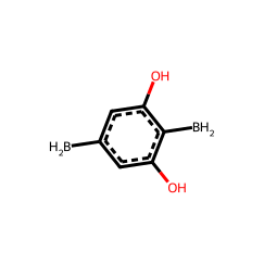 Bc1cc(O)c(B)c(O)c1